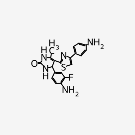 CC1=C(c2nc(-c3ccc(N)cc3)cs2)C(c2ccc(N)c(F)c2)NC(=O)N1